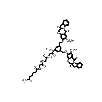 COc1cc2c(cc1OCc1cc(COc3cc4c(cc3OC)C(=O)N3c5ccccc5C[C@H]3C=N4)cc(N(C)C(=O)CNC(=O)CNC(=O)CNC(=O)CCCCC(N)=O)c1)N=C[C@@H]1Cc3ccccc3N1C2=O